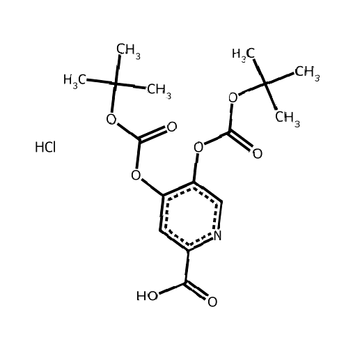 CC(C)(C)OC(=O)Oc1cnc(C(=O)O)cc1OC(=O)OC(C)(C)C.Cl